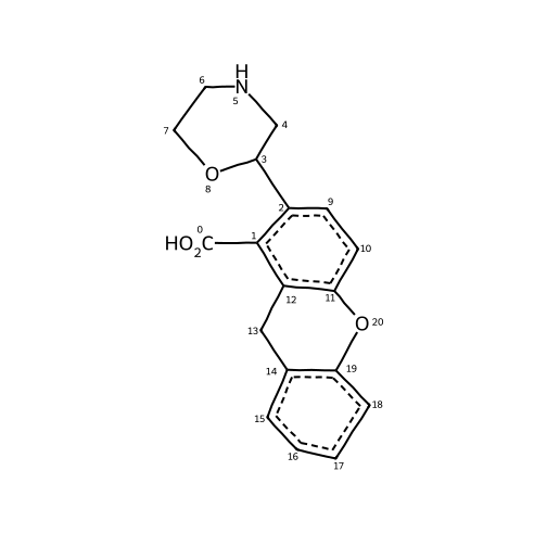 O=C(O)c1c(C2CNCCO2)ccc2c1Cc1ccccc1O2